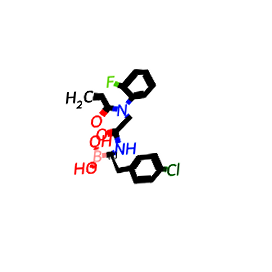 C=CC(=O)N(CC(=O)N[C@@H](Cc1ccc(Cl)cc1)B(O)O)c1ccccc1F